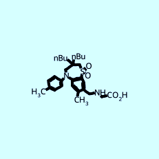 CCCCC1(CCCC)CN(c2ccc(C)cc2)c2cc(C)c(CNCC(=O)O)cc2S(=O)(=O)C1